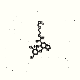 C=COCCONC(=O)c1cn2ccnc2c(Cl)c1Nc1ccc(Br)cc1Cl